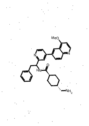 COc1ccnc2ccc(-c3ccnc(C(Cc4ccccc4)NC(=O)[C@H]4CC[C@H](CN)CC4)c3)cc12